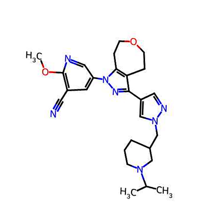 COc1ncc(-n2nc(-c3cnn(CC4CCCN(C(C)C)C4)c3)c3c2CCOCC3)cc1C#N